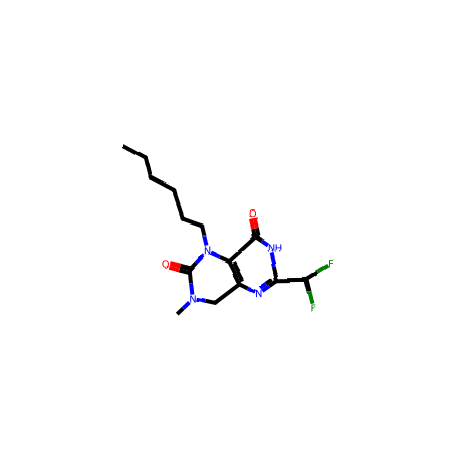 CCCCCCN1C(=O)N(C)Cc2nc(C(F)F)[nH]c(=O)c21